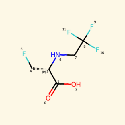 O=C(O)[C@H](CF)NCC(F)(F)F